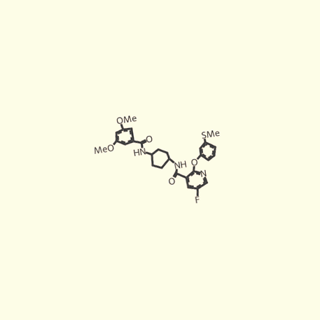 COc1cc(OC)cc(C(=O)NC2CCC(NC(=O)c3cc(F)cnc3Oc3cccc(SC)c3)CC2)c1